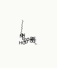 CCCCCCCCCCCc1cnc(-c2ccc(C(=O)O)c(-c3ccc(C(=O)OC(CCCC)C(F)(F)F)cc3)c2)nc1